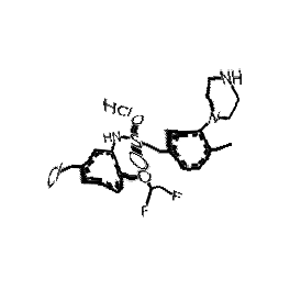 Cc1ccc(S(=O)(=O)Nc2cc(Cl)ccc2OC(F)F)cc1N1CCNCC1.Cl